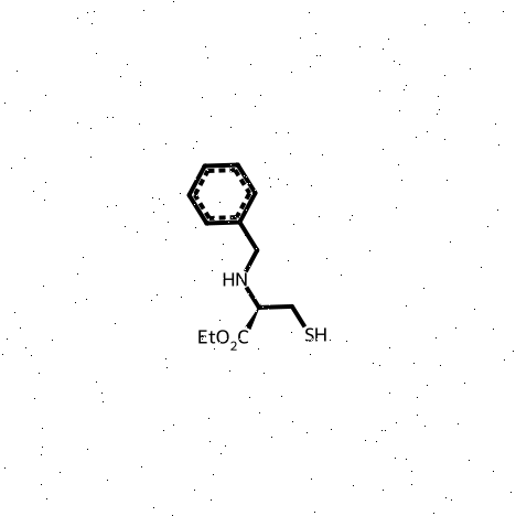 CCOC(=O)[C@H](CS)NCc1ccccc1